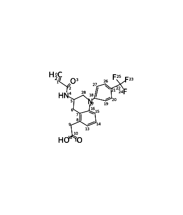 C=CC(=O)NC1Cc2c(CC(=O)O)cccc2N(c2ccc(C(F)(F)F)cc2)C1